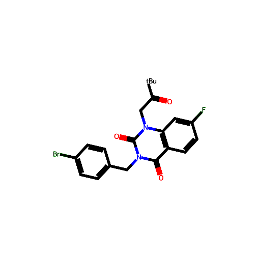 CC(C)(C)C(=O)Cn1c(=O)n(Cc2ccc(Br)cc2)c(=O)c2ccc(F)cc21